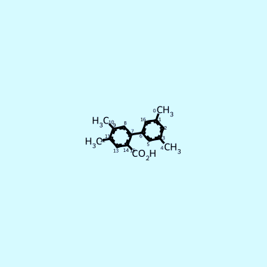 Cc1cc(C)cc(-c2cc(C)c(C)cc2C(=O)O)c1